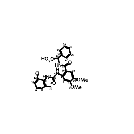 COc1cc(NC(=O)Nc2c(C)cccc2Cl)c(C(=O)NC(C(=O)O)c2ccccc2)cc1OC